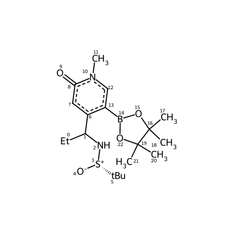 CCC(N[S@@+]([O-])C(C)(C)C)c1cc(=O)n(C)cc1B1OC(C)(C)C(C)(C)O1